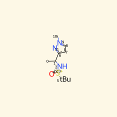 CC(N[S@+]([O-])C(C)(C)C)c1ccn(C)n1